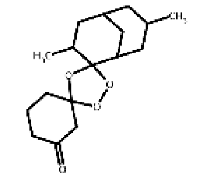 CC1CC2CC(C)C3(OOC4(CCCC(=O)C4)O3)C(C1)C2